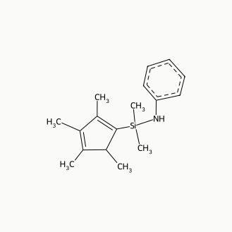 CC1=C(C)C(C)C([Si](C)(C)Nc2ccccc2)=C1C